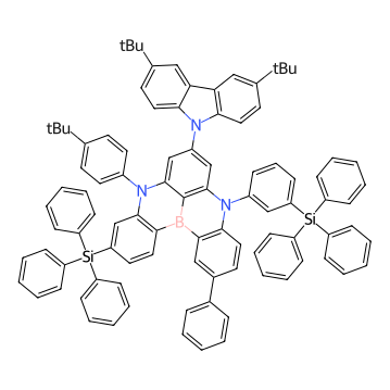 CC(C)(C)c1ccc(N2c3cc([Si](c4ccccc4)(c4ccccc4)c4ccccc4)ccc3B3c4cc(-c5ccccc5)ccc4N(c4cccc([Si](c5ccccc5)(c5ccccc5)c5ccccc5)c4)c4cc(-n5c6ccc(C(C)(C)C)cc6c6cc(C(C)(C)C)ccc65)cc2c43)cc1